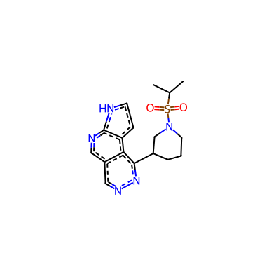 CC(C)S(=O)(=O)N1CCCC(c2nncc3cnc4[nH]ccc4c23)C1